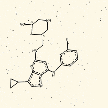 O[C@H]1CNC[C@H](CNc2cc(Nc3cccc(F)c3)n3ncc(C4CC4)c3n2)C1